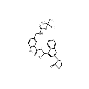 Cc1ccc(CNC(=O)OC(C)(C)C)cc1C(=O)NC(C)c1cc(N2CCCC2=O)nc2ccccc12